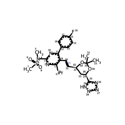 CC(C)c1nc(N(C)S(C)(=O)=O)nc(-c2ccc(F)cc2)c1/C=C/[C@@H]1C[C@H](c2nnn[nH]2)OC(C)(C)O1